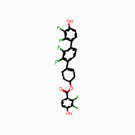 O=C(OC1CC=C(c2ccc(-c3ccc(O)c(F)c3F)c(F)c2F)CC1)c1ccc(O)c(F)c1F